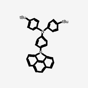 CC(C)(C)c1ccc(N(c2ccc(-n3c4cccc5ccc6cccc3c6c54)cc2)c2ccc(C(C)(C)C)cc2)cc1